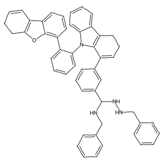 C1=Cc2c(oc3c(-c4ccccc4-n4c5c(c6ccccc64)CCC=C5c4cccc(C(NCc5ccccc5)NNCc5ccccc5)c4)cccc23)CC1